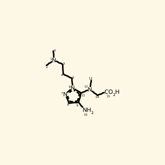 CN(C)CCCn1ncc(N)c1N(C)CC(=O)O